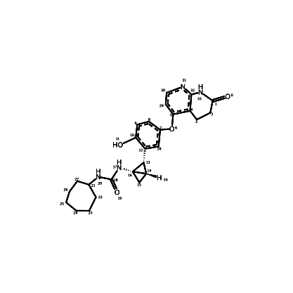 O=C1CCc2c(Oc3ccc(O)c([C@@H]4[C@@H]5C[C@@]45NC(=O)NC4CCCCCC4)c3)ccnc2N1